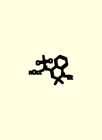 CCCCCCCCN(C1=CC(C)(C)N(CC)c2ccccc21)S(C)(=O)=O